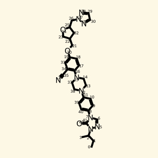 CCC(C)n1ncn(-c2ccc(N3CCN(c4ccc(OCC5COC(Cn6nccn6)C5)cc4C#N)CC3)cc2)c1=O